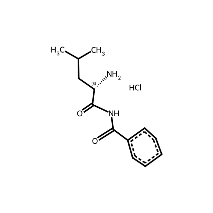 CC(C)C[C@H](N)C(=O)NC(=O)c1ccccc1.Cl